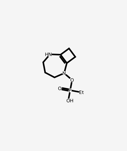 CCP(=O)(O)ON1CCCNC2=C1CC2